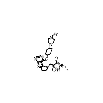 CC(C)N1CCN([C@H]2CC[C@H](Oc3ncnc4sc5c(c34)[C@@H](C[C@H](O)C(N)=O)CC5)CC2)CC1